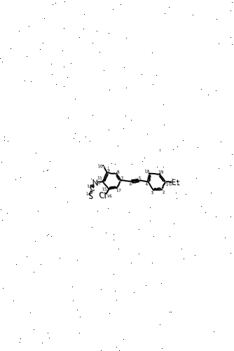 CCc1ccc(C#Cc2cc(C)c(N=C=S)c(Cl)c2)cc1